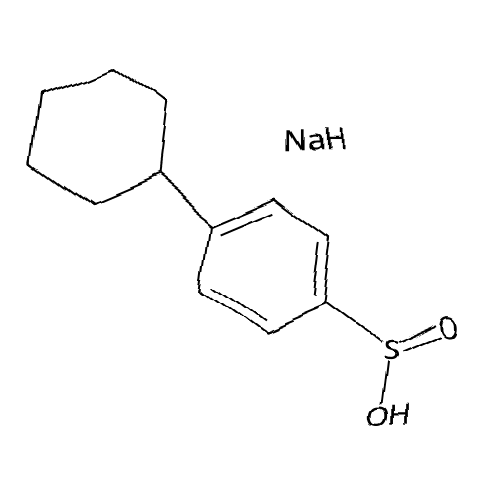 O=S(O)c1ccc(C2CCCCC2)cc1.[NaH]